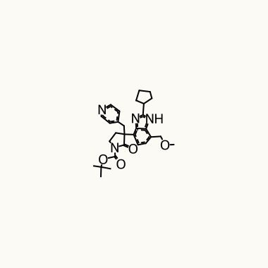 COCc1ccc(C2(Cc3ccncc3)CCN(C(=O)OC(C)(C)C)C2=O)c2nc(C3CCCC3)[nH]c12